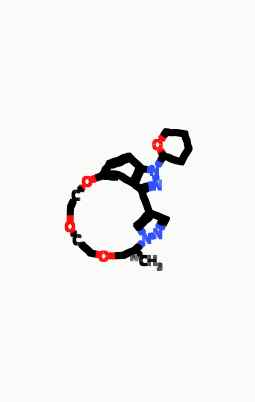 C[C@H]1COCCOCCOc2ccc3c(c2)c(nn3C2CCCCO2)-c2cnn1c2